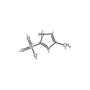 Cc1c[nH]c(S(=O)(=O)Cl)n1